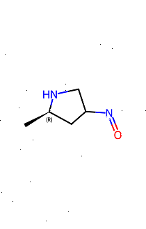 C[C@@H]1CC(N=O)CN1